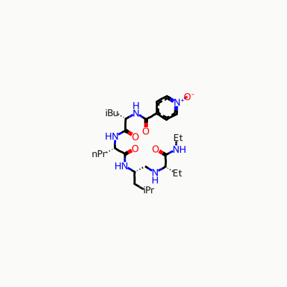 CCC[C@H](NC(=O)[C@@H](NC(=O)c1cc[n+]([O-])cc1)C(C)CC)C(=O)N[C@H](CN[C@@H](CC)C(=O)NCC)CC(C)C